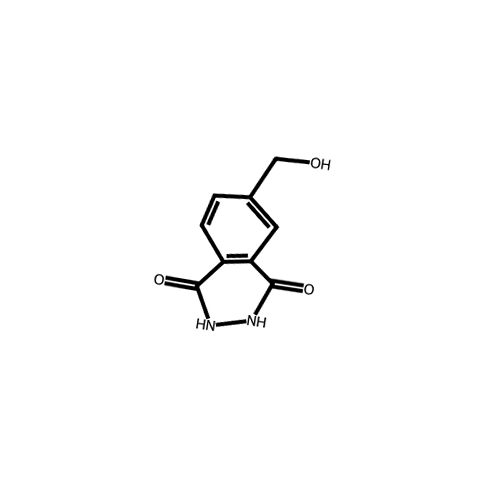 O=c1[nH][nH]c(=O)c2cc(CO)ccc12